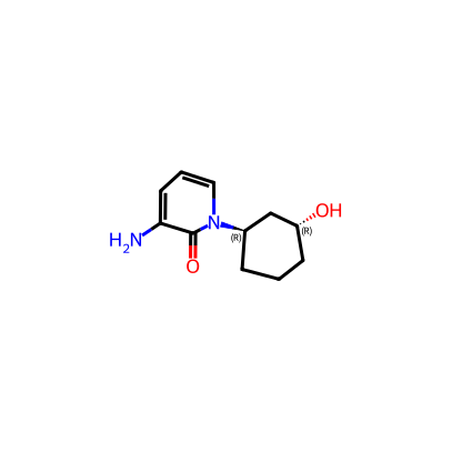 Nc1cccn([C@@H]2CCC[C@@H](O)C2)c1=O